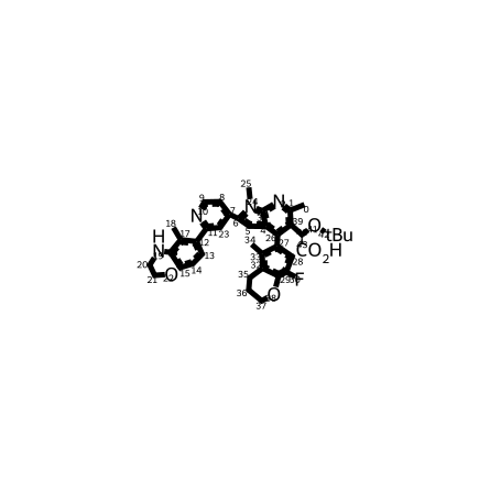 Cc1nc2c(cc(-c3ccnc(-c4ccc5c(c4C)NCCO5)c3)n2C)c(-c2cc(F)c3c(c2C)CCCO3)c1[C@H](OC(C)(C)C)C(=O)O